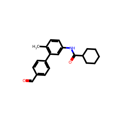 Cc1ccc(NC(=O)C2CCCCC2)cc1-c1ccc(C=O)cc1